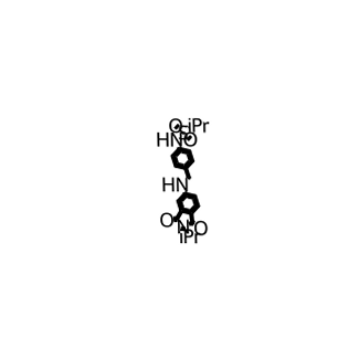 CC(C)N1C(=O)c2ccc(NCc3ccc(NS(=O)(=O)C(C)C)cc3)cc2C1=O